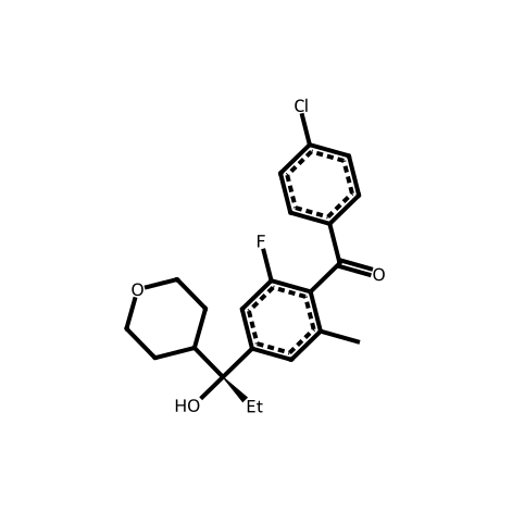 CC[C@](O)(c1cc(C)c(C(=O)c2ccc(Cl)cc2)c(F)c1)C1CCOCC1